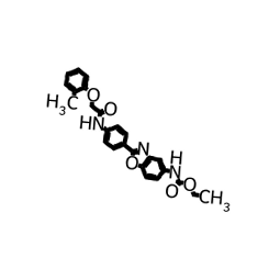 CCOC(=O)Nc1ccc2oc(-c3ccc(NC(=O)COc4ccccc4C)cc3)nc2c1